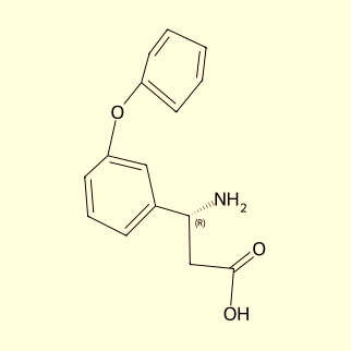 N[C@H](CC(=O)O)c1cccc(Oc2ccccc2)c1